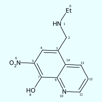 CCNCc1cc([N+](=O)[O-])c(O)c2ncccc12